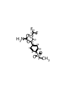 CCS(=O)(=O)c1ccc([C@H](COC(F)F)OC(N)=O)cc1